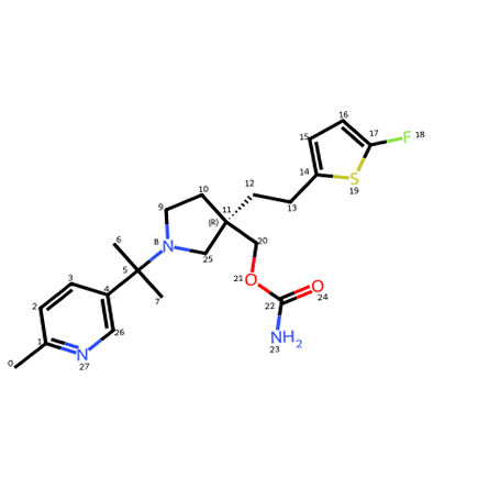 Cc1ccc(C(C)(C)N2CC[C@@](CCc3ccc(F)s3)(COC(N)=O)C2)cn1